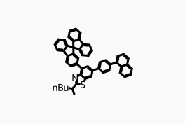 CCCCC(C)c1nc2c(-c3ccc4c(c3)C3(c5ccccc5-c5ccccc53)c3ccccc3-4)cc(-c3ccc(-c4cccc5ccccc45)cc3)cc2s1